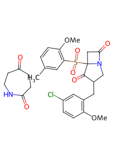 COc1ccc(Cl)cc1CC1CN2C(=O)CC2(S(=O)(=O)c2cc(C)ccc2OC)C1=O.O=C1CCNC(=O)CC1